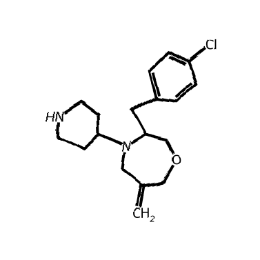 C=C1COCC(Cc2ccc(Cl)cc2)N(C2CCNCC2)C1